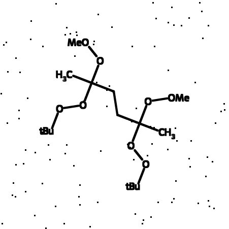 COOC(C)(CCC(C)(OOC)OOC(C)(C)C)OOC(C)(C)C